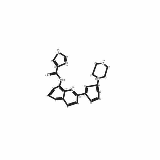 O=C(Nc1cccc2ccc(-c3cccc(N4CCOCC4)c3)nc12)c1cscn1